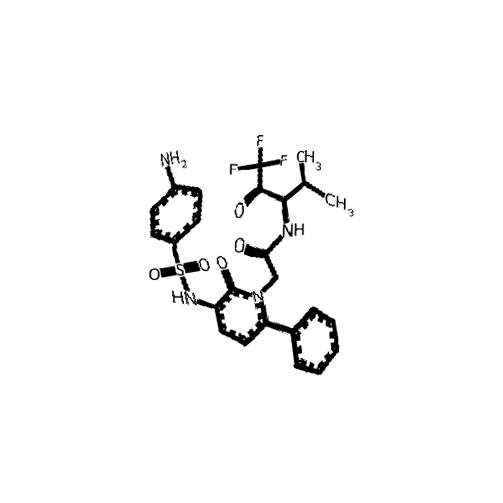 CC(C)C(NC(=O)Cn1c(-c2ccccc2)ccc(NS(=O)(=O)c2ccc(N)cc2)c1=O)C(=O)C(F)(F)F